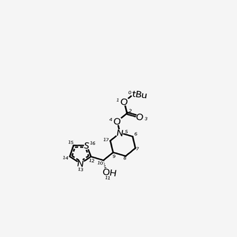 CC(C)(C)OC(=O)ON1CCCC([C@H](O)c2nccs2)C1